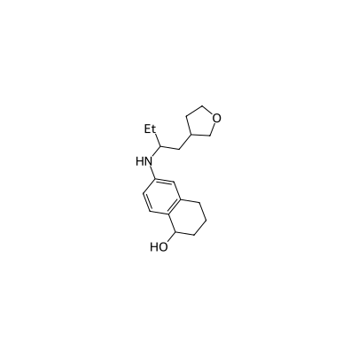 CCC(CC1CCOC1)Nc1ccc2c(c1)CCCC2O